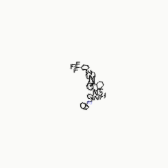 O=C(/C=C/c1ccco1)Nc1nc2c(s1)CCCC2C(=O)N1CCN(c2cccc(C(F)(F)F)c2)CC1